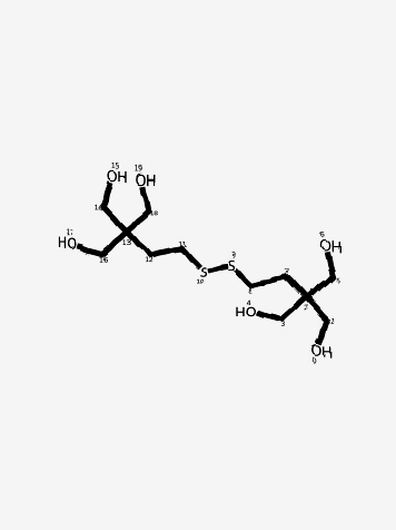 OCC(CO)(CO)CCSSCCC(CO)(CO)CO